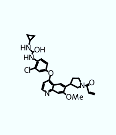 C=CC(=O)N1CCC(c2cc3c(Oc4ccc(NC(O)NC5CC5)c(Cl)c4)ccnc3cc2OC)C1